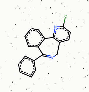 Clc1ccc2c(n1)-c1ccccc1C(c1ccccc1)=NC2